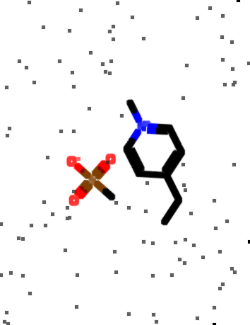 CCc1cc[n+](C)cc1.CS(=O)(=O)[O-]